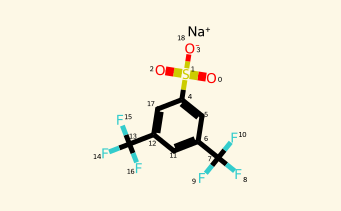 O=S(=O)([O-])c1cc(C(F)(F)F)cc(C(F)(F)F)c1.[Na+]